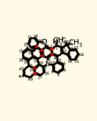 CC1CC=C(c2ccccc2N(c2ccc3oc4ccccc4c3c2)c2ccccc2-c2cccc3cccc(C4CCCCC4)c23)C2=C1C(C)(C)c1ccccc12